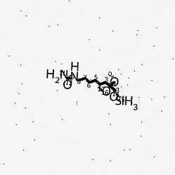 COC(CCCCCCNC(N)=O)(CO[SiH3])OC